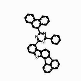 c1ccc(-c2nc(-c3cc4ccccc4c4ccccc34)nc(-c3cccc4sc5c6c(ccc5c34)-c3cccc4cccc-6c34)n2)cc1